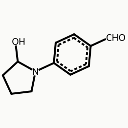 O=Cc1ccc(N2CCCC2O)cc1